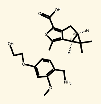 COc1cc(OCCO)ccc1CN.Cc1sc(C(=O)O)c2c1[C@H]1[C@@H](C2)C1(C)C